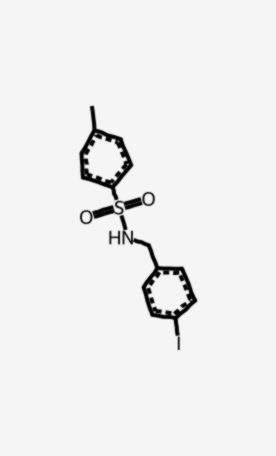 Cc1ccc(S(=O)(=O)NCc2ccc(I)cc2)cc1